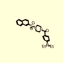 CCN(CC)c1ccc(C(=O)N2CCN(S(=O)(=O)c3ccc4ccccc4c3)CC2)cc1